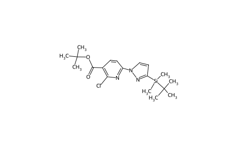 CC(C)(C)OC(=O)c1ccc(-n2ccc([Si](C)(C)C(C)(C)C)n2)nc1Cl